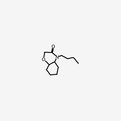 CCCCN1C(=O)COC2CCCCC21